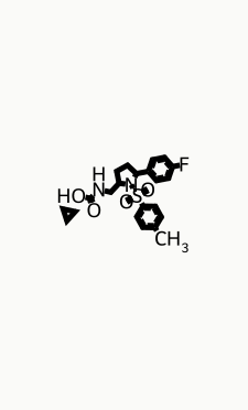 C1CC1.Cc1ccc(S(=O)(=O)N2C(CNC(=O)O)CCC2c2ccc(F)cc2)cc1